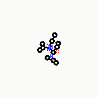 c1ccc(-c2ccc(-c3nc(-c4cc5ccccc5c5ccccc45)nc(-c4cc(-n5c6ccccc6c6cc7ccccc7cc65)cc5oc6cc7ccccc7cc6c45)n3)cc2)cc1